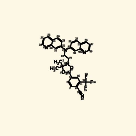 CC1(C)ON(c2ccc(C#N)c(C(F)(F)F)c2)ON1CCN(c1ccc2cccnc2c1)c1ccc2cccnc2c1